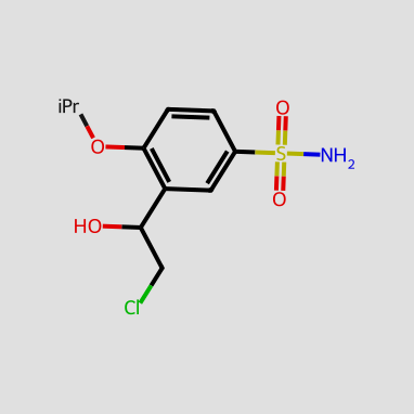 CC(C)Oc1ccc(S(N)(=O)=O)cc1C(O)CCl